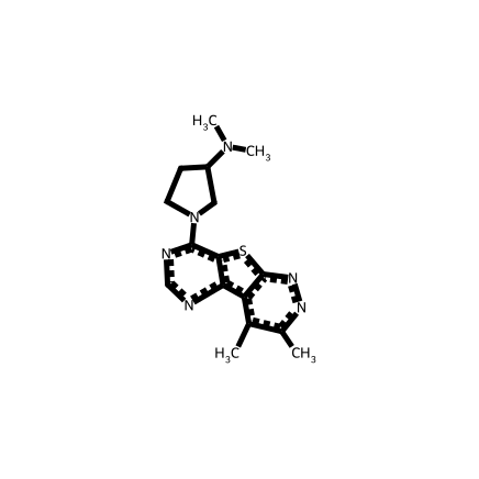 Cc1nnc2sc3c(N4CCC(N(C)C)C4)ncnc3c2c1C